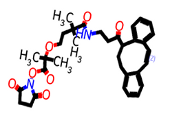 CC(C)(CCOC(C)(C)C(=O)ON1C(=O)CCC1=O)C(=O)NCCC(=O)C1CCc2ccccc2/C=C\c2ccccc21